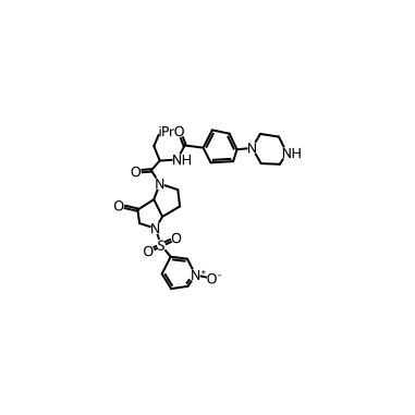 CC(C)CC(NC(=O)c1ccc(N2CCNCC2)cc1)C(=O)N1CCC2C1C(=O)CN2S(=O)(=O)c1ccc[n+]([O-])c1